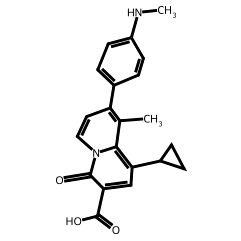 CNc1ccc(-c2ccn3c(=O)c(C(=O)O)cc(C4CC4)c3c2C)cc1